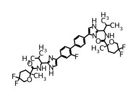 CC(C)C(NC(=O)[C@@]1(C)CCC(F)(F)CO1)c1nc(-c2ccc(-c3ccc(-c4c[nH]c(C(NC(=O)[C@@]5(C)CCC(F)(F)CO5)C(C)C)n4)cc3F)cc2)c[nH]1